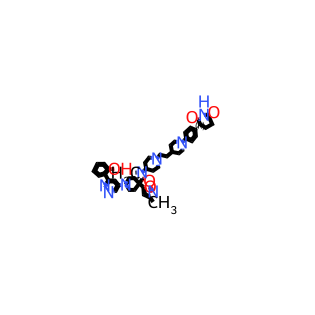 Cc1cc(C2(C(=O)N(C)C3CCN(CCC4CCN(c5ccc([C@H]6CCC(=O)NC6=O)cc5)CC4)CC3)CCN(c3cnnc(-c4ccccc4O)c3)CC2)on1